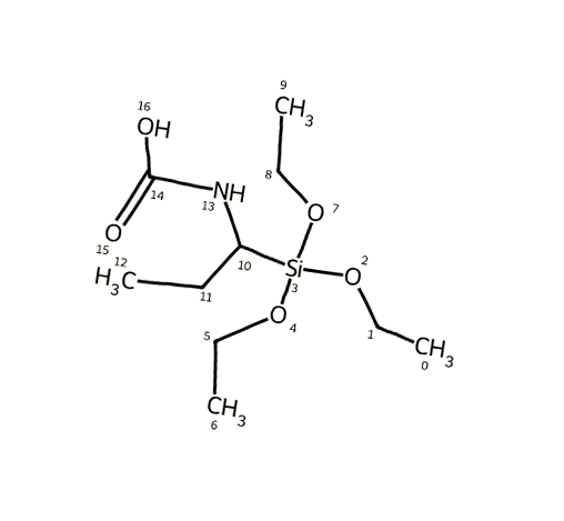 CCO[Si](OCC)(OCC)C(CC)NC(=O)O